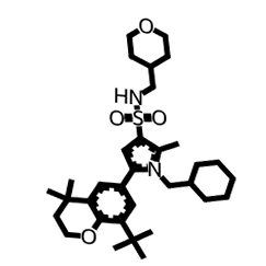 Cc1c(S(=O)(=O)NCC2CCOCC2)cc(-c2cc(C(C)(C)C)c3c(c2)C(C)(C)CCO3)n1CC1CCCCC1